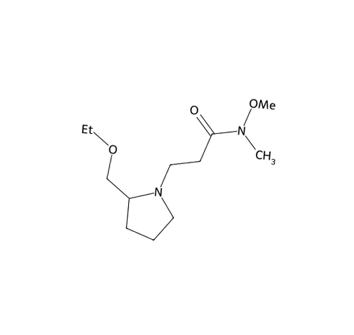 CCOCC1CCCN1CCC(=O)N(C)OC